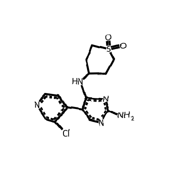 Nc1ncc(-c2ccncc2Cl)c(NC2CCS(=O)(=O)CC2)n1